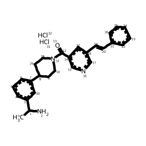 CC(N)c1cccc(C2CCN(C(=O)c3cncc(C=Cc4ccccc4)c3)CC2)c1.Cl.Cl